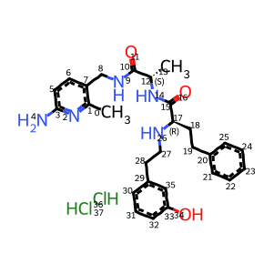 Cc1nc(N)ccc1CNC(=O)[C@H](C)NC(=O)[C@@H](CCc1ccccc1)NCCc1cccc(O)c1.Cl.Cl